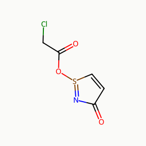 O=C1C=CS(OC(=O)CCl)=N1